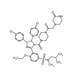 CCOc1ccc(S(=O)(=O)N(C)CC(C)C)cc1C1=NC(c2ccc(Cl)cc2)C(c2ccc(Cl)cc2)N1C(=O)N1CCN(C(=O)CN2CCNC(=O)C2)CC1